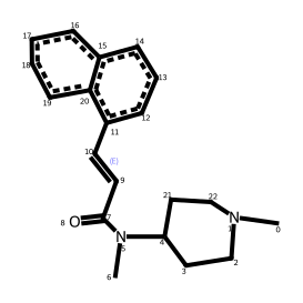 CN1CCC(N(C)C(=O)/C=C/c2cccc3ccccc23)CC1